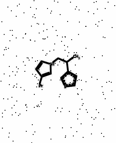 CC(C)C1=C[SH](CC(C)c2ccsc2)C=C1